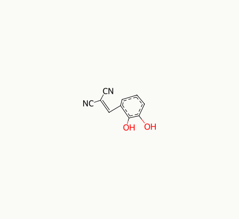 N#CC(C#N)=Cc1cccc(O)c1O